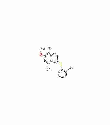 CCCCOc1cc(OC(C)=O)c2cc(Sc3ccccc3CC)ccc2c1OC(C)=O